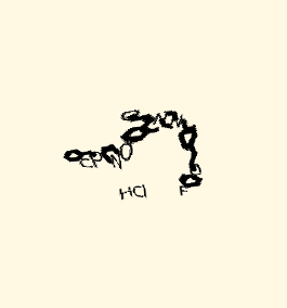 Cc1cc(Oc2ccc(OCc3ccccc3Cl)cn2)ccc1/C(=C\C=O)N1CCN(Cc2ccc(CCOc3ccc(F)cc3)cc2)CC1.Cl